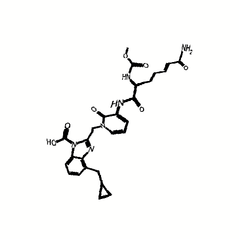 COC(=O)NC(CC/C=C/C(N)=O)C(=O)Nc1cccn(Cc2nc3c(CC4CC4)cccc3n2C(=O)O)c1=O